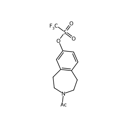 CC(=O)N1CCc2ccc(OS(=O)(=O)C(F)(F)F)cc2CC1